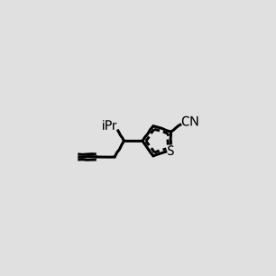 C#CCC(c1csc(C#N)c1)C(C)C